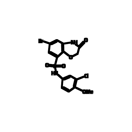 COc1ccc(NS(=O)(=O)c2cc(Br)cc3c2OCC(=O)N3)cc1Cl